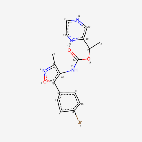 Cc1noc(-c2ccc(Br)cc2)c1NC(=O)OC(C)c1cnccn1